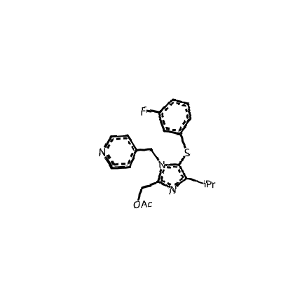 CC(=O)OCc1nc(C(C)C)c(Sc2cccc(F)c2)n1Cc1ccncc1